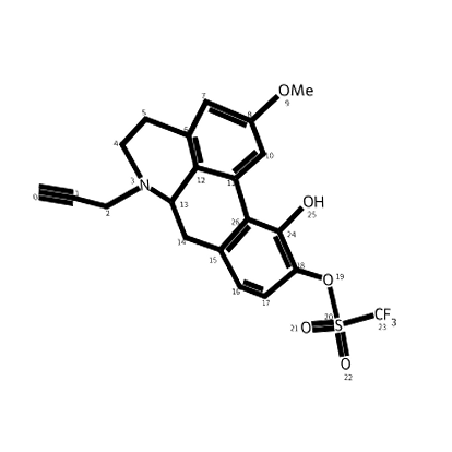 C#CCN1CCc2cc(OC)cc3c2C1Cc1ccc(OS(=O)(=O)C(F)(F)F)c(O)c1-3